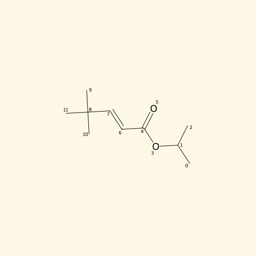 CC(C)OC(=O)C=CC(C)(C)C